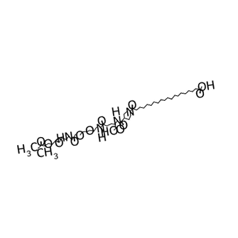 CC(C)C(=O)COCCOCCNC(=O)COCCOCCNC(=O)CCC(NC(=O)C1CCN(C(=O)CCCCCCCCCCCCCCCCCCC(=O)O)CC1)C(=O)O